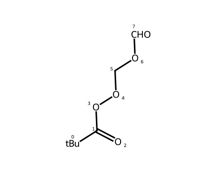 CC(C)(C)C(=O)OOCOC=O